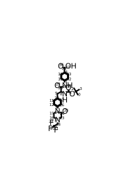 CC(C)(C)OC(=O)NC(Cc1ccc(N2CCN(CC(F)(F)F)CC2=O)cc1)C(=O)Nc1ccc(C(=O)O)cc1